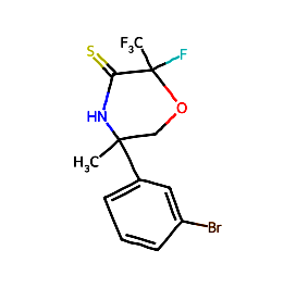 CC1(c2cccc(Br)c2)COC(F)(C(F)(F)F)C(=S)N1